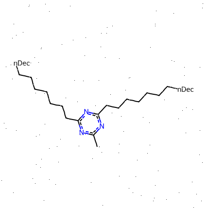 [CH2]c1nc(CCCCCCCCCCCCCCCCC)nc(CCCCCCCCCCCCCCCCC)n1